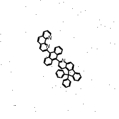 c1ccc(C2(c3ccccc3)c3ccccc3-c3ccc4nc(-c5c6ccccc6c(-c6ccc7ccc8cccnc8c7n6)c6ccccc56)ccc4c32)cc1